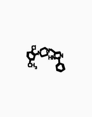 Cc1ccc(Cl)c(N2CCN(Cc3cnc(-c4ccccc4)[nH]3)CC2)c1